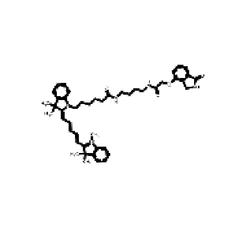 C[N+]1=C(/C=C/C=C/C=C2\N(CCCCCC(=O)NCCCCNC(=O)COc3cccc4c3CNC4=O)c3ccccc3C2(C)C)C(C)(C)c2ccccc21